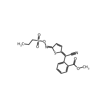 CCCS(=O)(=O)O/N=C1C=C/C(=C(\C#N)c2ccccc2C(=O)OC)S\1